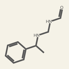 CC(NCNC=O)c1ccccc1